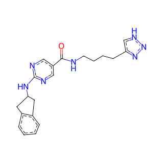 O=C(NCCCCc1c[nH]nn1)c1cnc(NC2Cc3ccccc3C2)nc1